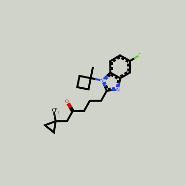 CC1(n2c(CCCC(=O)CC3(C(F)(F)F)CC3)nc3cc(F)ccc32)CCC1